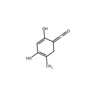 CC1=C(O)C=C(O)C(=C=O)C1